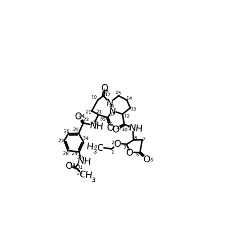 CCOC1OC(=O)CC1NC(=O)C1CCCN2C(=O)CCC(NC(=O)c3cccc(NC(C)=O)c3)C(=O)N12